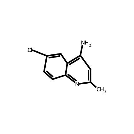 Cc1cc(N)c2cc(Cl)ccc2n1